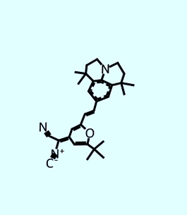 [C-]#[N+]/C(C#N)=C1C=C(/C=C/c2cc3c4c(c2)C(C)(C)CCN4CCC3(C)C)OC(C(C)(C)C)=C/1